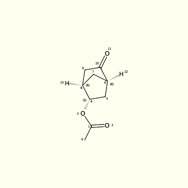 CC(=O)O[C@H]1C[C@H]2C[C@@H]1CC2=O